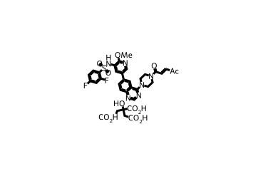 COc1ncc(-c2ccc3ncnc(N4CCN(C(=O)/C=C/C(C)=O)CC4)c3c2)cc1NS(=O)(=O)c1ccc(F)cc1F.O=C(O)CC(O)(CC(=O)O)C(=O)O